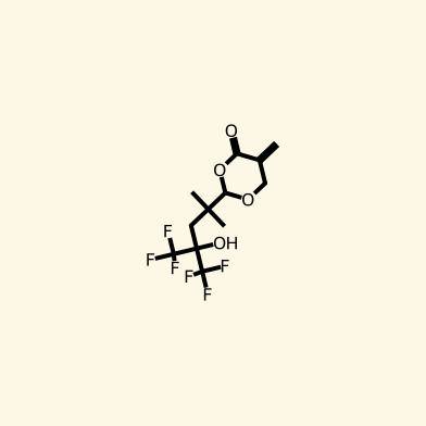 C=C1COC(C(C)(C)CC(O)(C(F)(F)F)C(F)(F)F)OC1=O